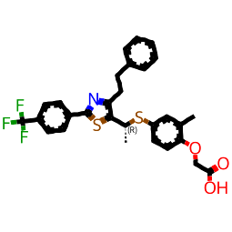 Cc1cc(S[C@H](C)c2sc(-c3ccc(C(F)(F)F)cc3)nc2CCc2ccccc2)ccc1OCC(=O)O